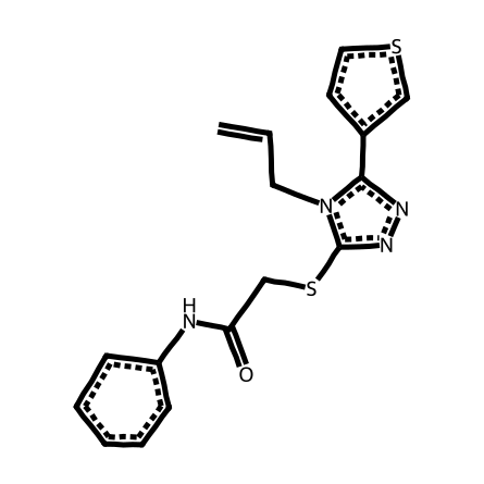 C=CCn1c(SCC(=O)Nc2ccccc2)nnc1-c1ccsc1